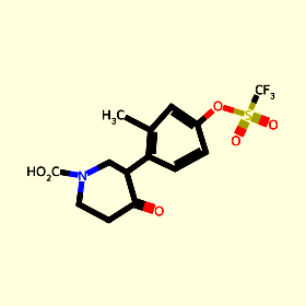 Cc1cc(OS(=O)(=O)C(F)(F)F)ccc1C1CN(C(=O)O)CCC1=O